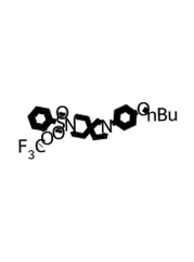 CCCCOc1ccc(N2CCC3(CCN(S(=O)(=O)c4ccccc4OC(F)(F)F)CC3)C2)cc1